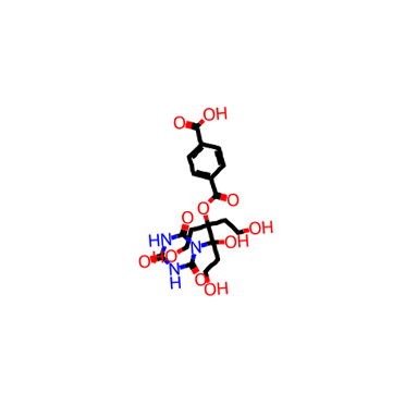 O=C(O)c1ccc(C(=O)OC(CCO)(CCO)C(O)(CCO)n2c(=O)[nH]c(=O)[nH]c2=O)cc1